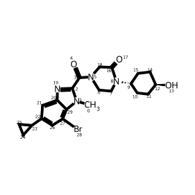 Cn1c(C(=O)N2CCN([C@H]3CC[C@H](O)CC3)C(=O)C2)nc2cc(C3CC3)cc(Br)c21